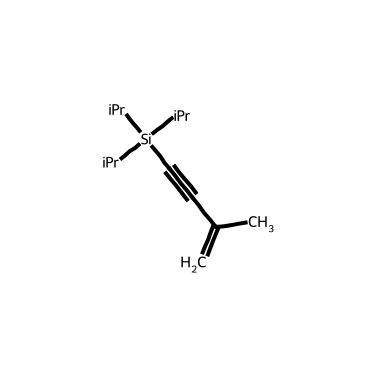 C=C(C)C#C[Si](C(C)C)(C(C)C)C(C)C